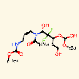 CCCCCCOC(=O)NC/C=C\N(C(=O)NC)[C@H](O)C(F)(F)[C@@H](CCO)OC(O)OC(C)(C)C